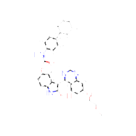 COCCOc1ccc2c(-c3c(O)[nH]c4ccc(OC(=O)Nc5ccc(C6CCCCC6)cc5)cc34)ncnc2c1